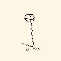 CCOC(=O)C(CCCCCOCC12CC3CC(CC(C3)C1)C2)[C@H](C(C)=O)C(=O)OCC